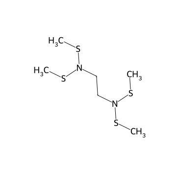 CSN(CCN(SC)SC)SC